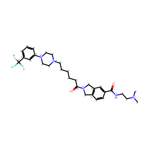 CN(C)CCNC(=O)c1ccc2c(c1)CN(C(=O)CCCCCN1CCN(c3cccc(C(F)(F)F)c3)CC1)C2